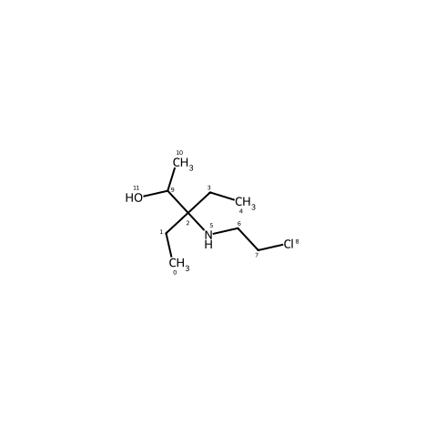 CCC(CC)(NCCCl)C(C)O